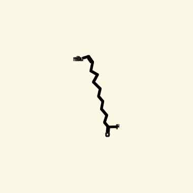 CCCC/C=C\CCCCCCCCCC(=O)F